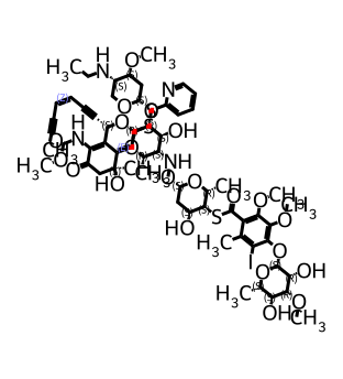 CC#C/C=C\C#C[C@H](O[C@@H]1O[C@H](C)[C@@H](NO[C@H]2C[C@H](O)[C@H](SC(=O)c3c(C)c(I)c(O[C@@H]4O[C@@H](C)[C@H](O)[C@@H](OC)[C@H]4O)c(OC)c3OC)[C@@H](C)O2)[C@H](O)[C@H]1O[C@H]1C[C@H](OC)[C@@H](NCC)CO1)C1=C(NC(=O)OC)C(=O)C[C@](C)(O)/C1=C/CSSc1ccccn1